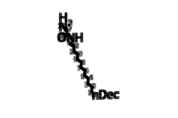 CCCCCCCCCCCCCCCCCCCCCC=CNC(=O)CN